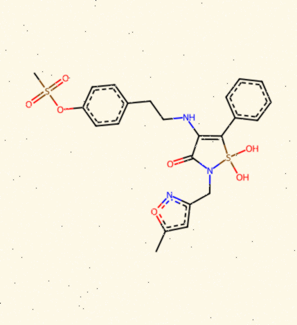 Cc1cc(CN2C(=O)C(NCCc3ccc(OS(C)(=O)=O)cc3)=C(c3ccccc3)S2(O)O)no1